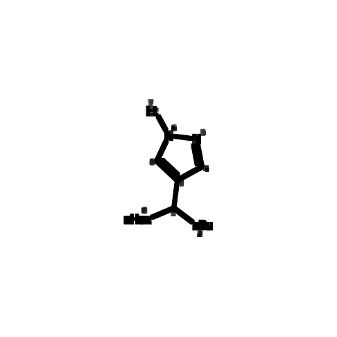 CCCCCCC(CCCC)c1cnn(CC)c1